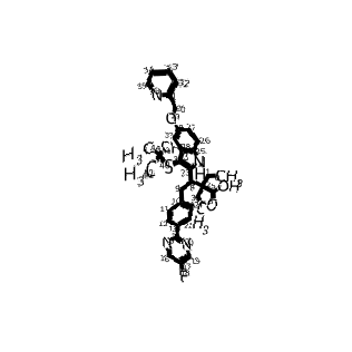 CCC(CC)(C(=O)O)C(Cc1ccc(-c2ncc(F)cn2)cc1)c1[nH]c2ccc(OCc3ccccn3)cc2c1SC(C)(C)C